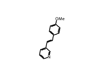 COc1ccc(C=Cc2cccnc2)cc1